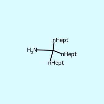 CCCCCCCC(N)(CCCCCCC)CCCCCCC